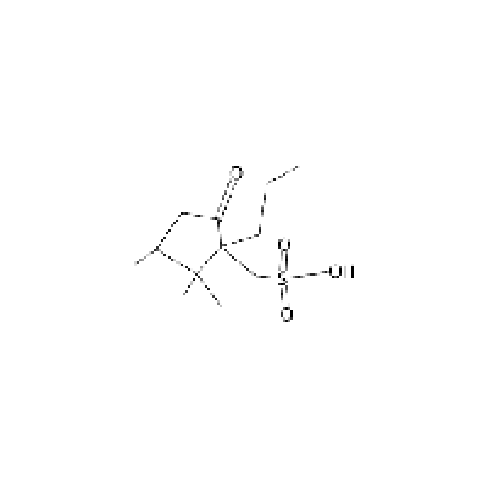 CCCC1(CS(=O)(=O)O)C(=O)CC(C)C1(C)C